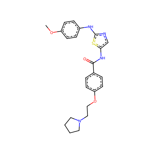 COc1ccc(Nc2ncc(NC(=O)c3ccc(OCCN4CCCC4)cc3)s2)cc1